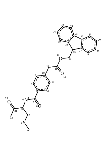 CSCC(NC(=O)c1ccc(CC(=O)OCC2c3ccccc3-c3ccccc32)cc1)C(C)=O